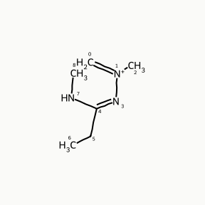 C=[N+](C)/N=C(/CC)NC